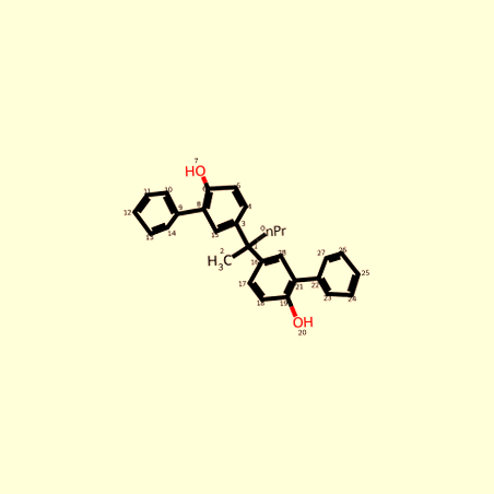 CCCC(C)(c1ccc(O)c(-c2ccccc2)c1)c1ccc(O)c(-c2ccccc2)c1